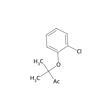 CC(=O)C(C)(C)Oc1ccccc1Cl